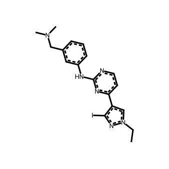 CCn1cc(-c2ccnc(Nc3cccc(CN(C)C)c3)n2)c(I)n1